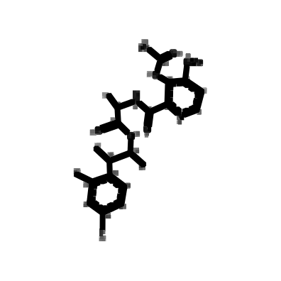 COc1ccnc(C(=O)NC(C)C(=O)OC(C)C(C)c2ccc(F)cc2C)c1OC(=O)C(C)C